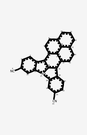 N#Cc1ccc2c3c4ccc5cccc6ccc(c4c56)c4c5ccc(C#N)cc5n(c2c1)c34